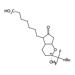 CCCCC(F)(F)[C@@]1(O)CCC2C(CC(=O)C2CCCCCCC(=O)O)O1